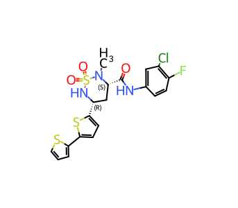 CN1[C@H](C(=O)Nc2ccc(F)c(Cl)c2)C[C@H](c2ccc(-c3cccs3)s2)NS1(=O)=O